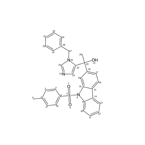 Cc1ccc(S(=O)(=O)n2c3ccccc3c3ccc(C(C)(O)c4cncn4Cc4ccccc4)cc32)cc1